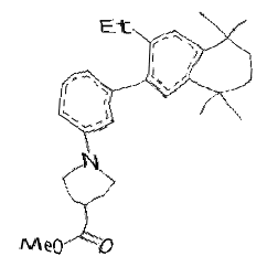 CCc1cc2c(cc1-c1cccc(N3CC(C(=O)OC)C3)c1)C(C)(C)CCC2(C)C